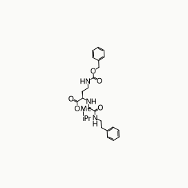 COC(=O)[C@@H](CCNC(=O)OCc1ccccc1)N[C@@H](CC(C)C)C(=O)NCCc1ccccc1